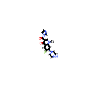 CCn1cc(C(=O)n2ccnc2)c(=O)c2cc(F)c(N3CCNCC3)cc21